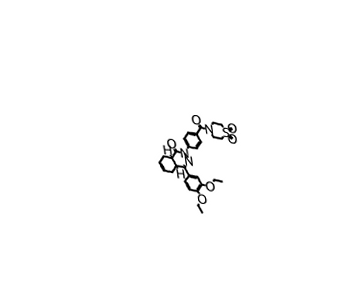 CCOc1ccc(C2=NN(c3ccc(C(=O)N4CCS(=O)(=O)CC4)cc3)C(=O)[C@H]3CC=CC[C@@H]23)cc1OCC